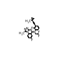 Cc1nnc2nc(N(CC(F)F)c3cccc(C#CC4(C)CC4)c3F)c3cc(F)ccc3n12